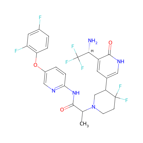 CC(C(=O)Nc1ccc(Oc2ccc(F)cc2F)cn1)N1CCC(F)(F)C(c2c[nH]c(=O)c([C@@H](N)C(F)(F)F)c2)C1